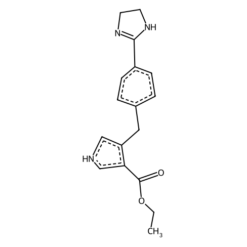 CCOC(=O)c1c[nH]cc1Cc1ccc(C2=NCCN2)cc1